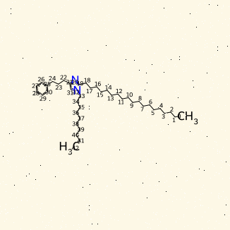 CCCCCCCCCCCCCCCCCCCc1nc(CCCc2ccccc2)cn1CCCCCCCCCC